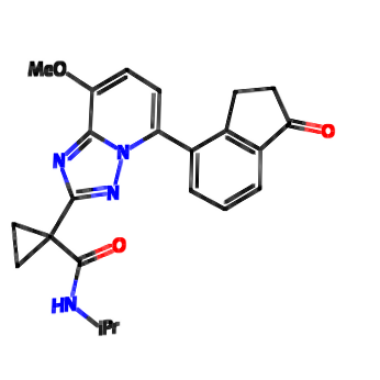 COc1ccc(-c2cccc3c2CCC3=O)n2nc(C3(C(=O)NC(C)C)CC3)nc12